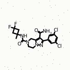 CC1(NC(=O)N2CCn3nc(-c4cc(Cl)cc(Cl)c4)c(C(N)=O)c3C2)CC(F)(F)C1